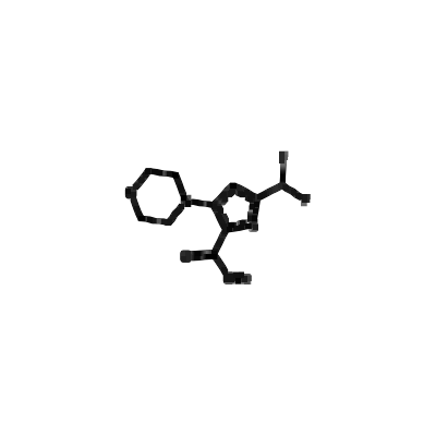 COC(=O)c1sc(C(F)F)cc1N1CCOCC1